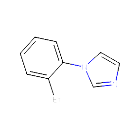 CCc1ccccc1-n1ccnc1